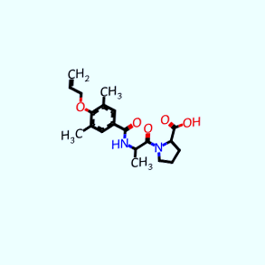 C=CCOc1c(C)cc(C(=O)NC(C)C(=O)N2CCCC2C(=O)O)cc1C